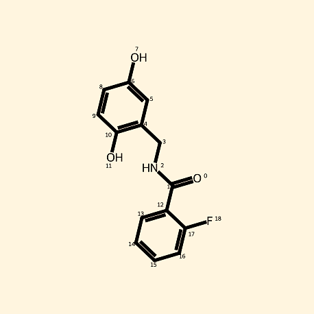 O=C(NCc1cc(O)ccc1O)c1ccccc1F